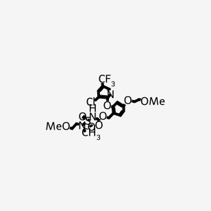 COCCOc1ccc(COC(=O)NS(=O)(=O)N(C)CCOC)c(Oc2ncc(C(F)(F)F)cc2Cl)c1